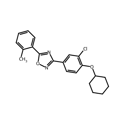 Cc1ccccc1-c1nc(-c2ccc(OC3CCCCC3)c(Cl)c2)no1